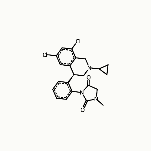 CN1CC(=O)N(c2ccccc2[C@@H]2CN(C3CC3)Cc3c(Cl)cc(Cl)cc32)C1=O